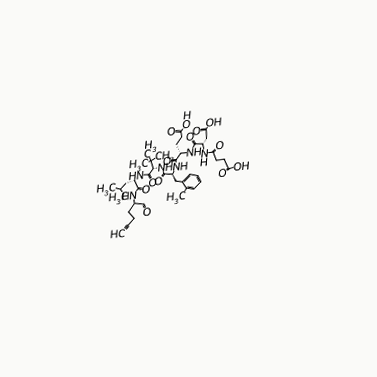 C#CCCC(C=O)NC(=O)[C@H](CC(C)C)NC(=O)[C@@H](NC(=O)[C@H](Cc1ccccc1C)NC(=O)[C@H](CCC(=O)O)NC(=O)[C@H](CC(=O)O)NC(=O)CCC(=O)O)C(C)(C)C